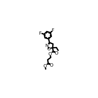 CCC1(C(=O)OCCC(=O)OC)CC(c2cc(F)cc(F)c2)=NO1